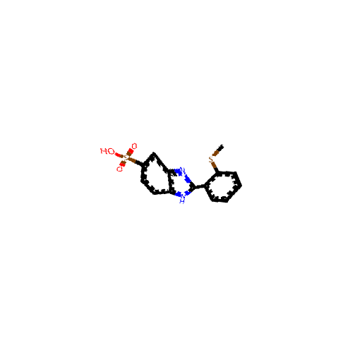 CSc1ccccc1-c1nc2cc(S(=O)(=O)O)ccc2[nH]1